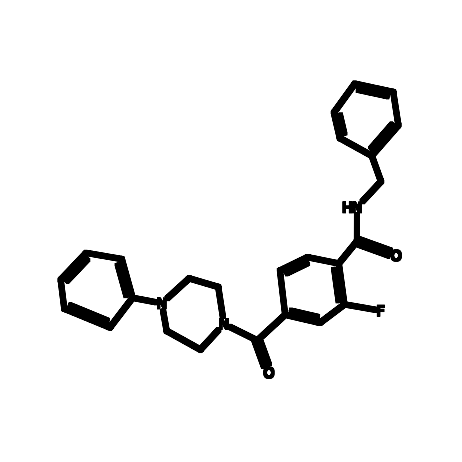 O=C(NCc1ccccc1)c1ccc(C(=O)N2CCN(c3ccccc3)CC2)cc1F